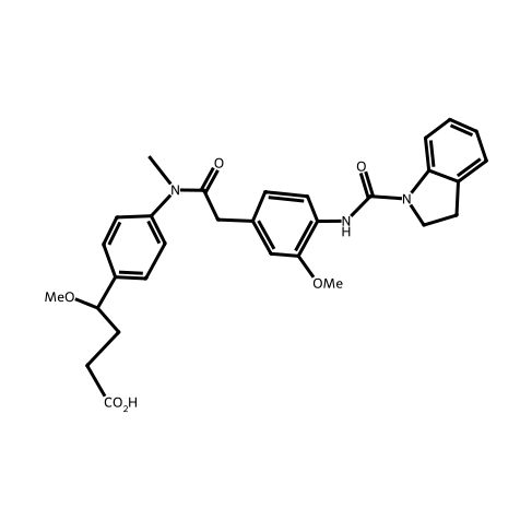 COc1cc(CC(=O)N(C)c2ccc(C(CCC(=O)O)OC)cc2)ccc1NC(=O)N1CCc2ccccc21